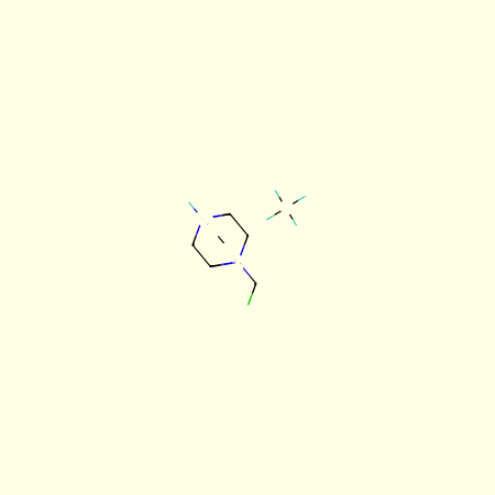 F[B-](F)(F)F.F[N+]12CC[N+](CCl)(CC1)CC2